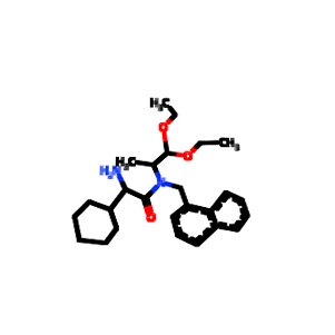 CCOC(OCC)C(C)N(Cc1cccc2ccccc12)C(=O)C(N)C1CCCCC1